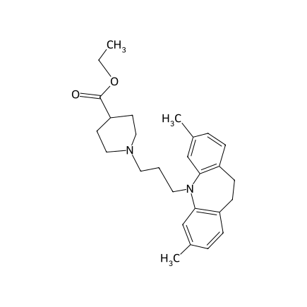 CCOC(=O)C1CCN(CCCN2c3cc(C)ccc3CCc3ccc(C)cc32)CC1